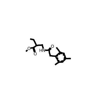 CCC(CNC(=O)Cc1c(C)cc(C)cc1C)C(=O)OC